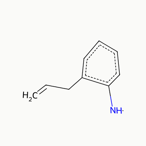 C=CCc1ccccc1[NH]